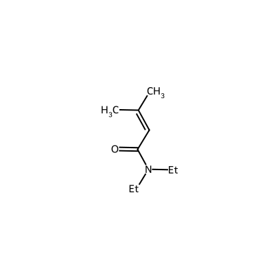 CCN(CC)C(=O)C=C(C)C